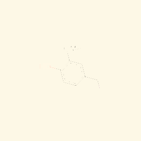 COc1cc(CI)ccc1O